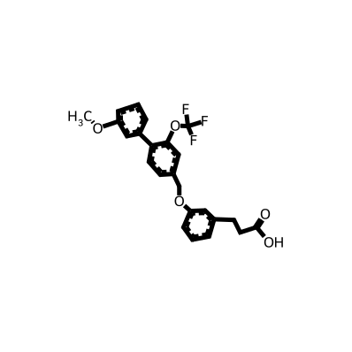 COc1cccc(-c2ccc(COc3cccc(CCC(=O)O)c3)cc2OC(F)(F)F)c1